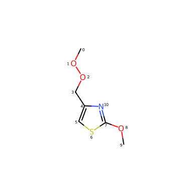 COOCc1csc(OC)n1